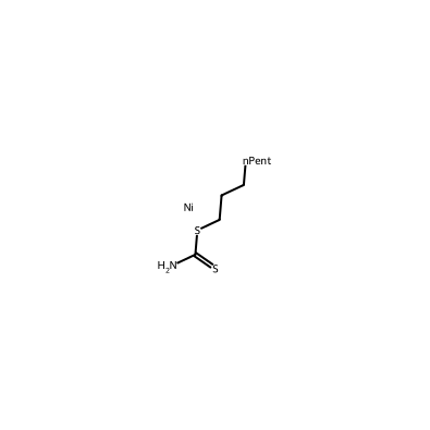 CCCCCCCCSC(N)=S.[Ni]